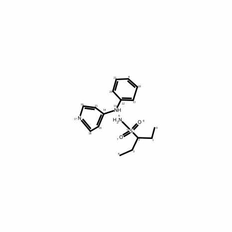 CCC(CC)S(N)(=O)=O.c1ccc(Nc2ccncc2)cc1